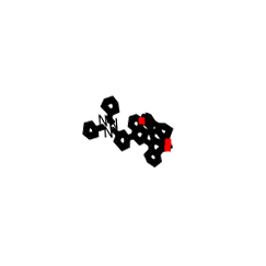 c1ccc(-c2nc(-c3ccccc3)nc(-c3cccc(-c4cc5c(c6ccccc46)C4(c6ccccc6-c6ccccc64)c4c-5c5ccccc5c5ccccc45)c3)n2)cc1